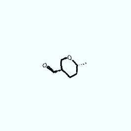 C[C@@H]1CC[C@@H](C=O)CO1